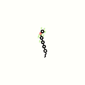 CCCCC1CCC(c2ccc(-c3ccc(-c4cc(F)c(C(F)(F)Oc5cc(F)c(F)c(F)c5)c(F)c4)c(F)c3)cc2)CC1